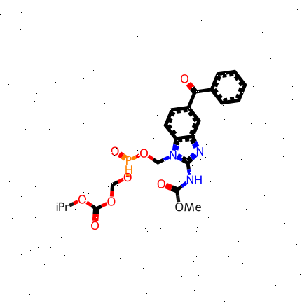 COC(=O)Nc1nc2cc(C(=O)c3ccccc3)ccc2n1CO[PH](=O)OCOC(=O)OC(C)C